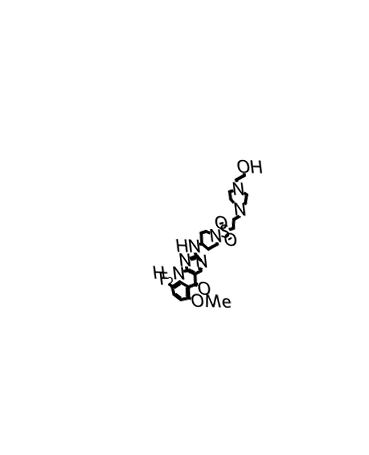 COc1ccc(F)cc1C(=O)c1cnc(NC2CCN(S(=O)(=O)CCCN3CCN(CCO)CC3)CC2)nc1N